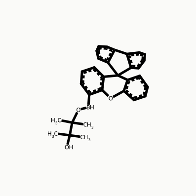 CC(C)(O)C(C)(C)OBc1cccc2c1Oc1ccccc1C21c2ccccc2-c2ccccc21